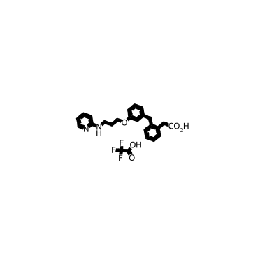 O=C(O)C(F)(F)F.O=C(O)Cc1ccccc1Cc1cccc(OCCCNc2ccccn2)c1